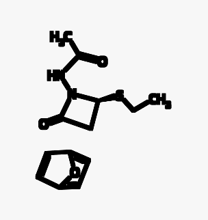 CCS[C@H]1CC(=O)N1NC(C)=O.c1cc2ccc1o2